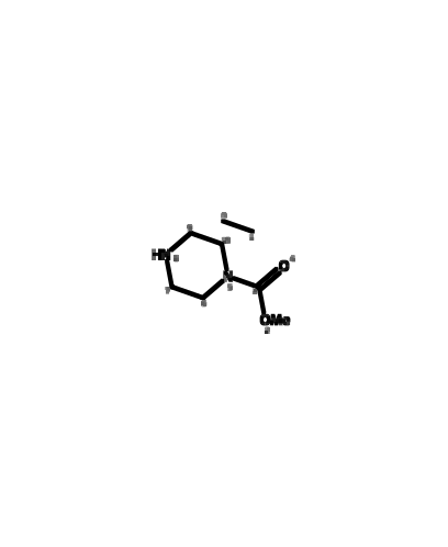 CC.COC(=O)N1CCNCC1